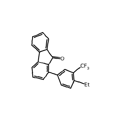 CCc1ccc(-c2cccc3c2C(=O)c2ccccc2-3)cc1C(F)(F)F